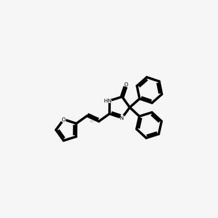 O=C1NC(/C=C/c2ccco2)=NC1(c1ccccc1)c1ccccc1